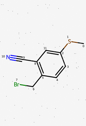 CSc1ccc(CBr)c(C#N)c1